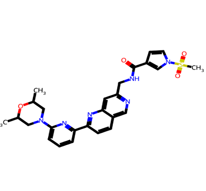 CC1CN(c2cccc(-c3ccc4cnc(CNC(=O)c5ccn(S(C)(=O)=O)c5)cc4n3)n2)CC(C)O1